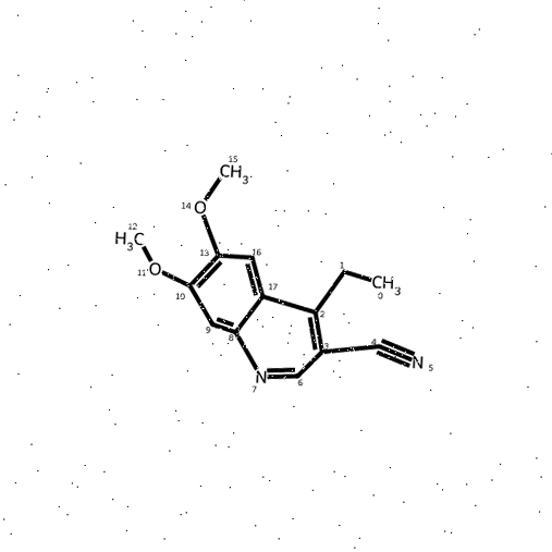 CCc1c(C#N)cnc2cc(OC)c(OC)cc12